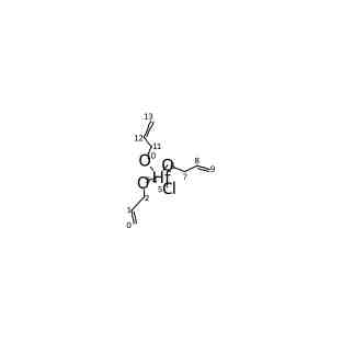 C=CC[O][Hf]([Cl])([O]CC=C)[O]CC=C